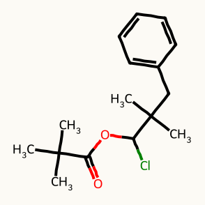 CC(C)(C)C(=O)OC(Cl)C(C)(C)Cc1ccccc1